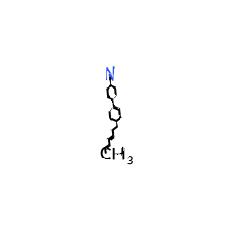 CCC/C=C/CC[C@H]1CC[C@H]([C@H]2CC[C@H](C#N)CC2)CC1